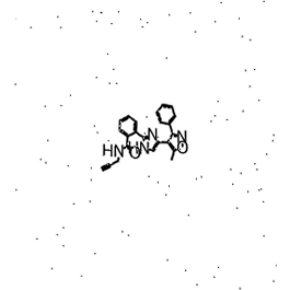 C#CCNC(=O)c1ccccc1-c1nc(-c2c(-c3ccccc3)noc2C)c[nH]1